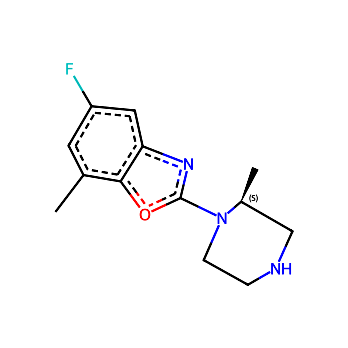 Cc1cc(F)cc2nc(N3CCNC[C@@H]3C)oc12